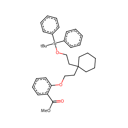 COC(=O)c1ccccc1OCCC1(CCO[Si](c2ccccc2)(c2ccccc2)C(C)(C)C)CCCCC1